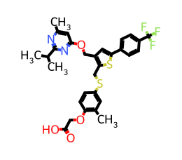 Cc1cc(OCc2cc(-c3ccc(C(F)(F)F)cc3)sc2CSc2ccc(OCC(=O)O)c(C)c2)nc(C(C)C)n1